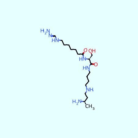 C[C@@H](N)CCNCCCCNC(=O)[C@H](CO)NC(=O)CCCCCCNC=NN